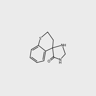 O=C1NCNC12CCSc1ccccc12